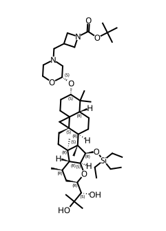 CC[Si](CC)(CC)O[C@H]1[C@H]2O[C@@H]([C@H](O)C(C)(C)O)C[C@@H](C)[C@@H]2[C@@]2(C)CC[C@@]34CC35CC[C@H](O[C@H]3CN(CC6CN(C(=O)OC(C)(C)C)C6)CCO3)C(C)(C)[C@@H]5CC[C@H]4[C@]12C